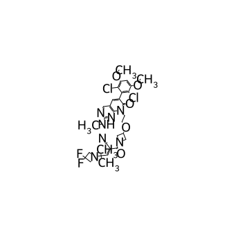 CNc1ncc2cc(-c3c(Cl)c(OC)cc(OC)c3Cl)c(=O)n(CCOC3CN(C(=O)C(C#N)=CC(C)(C)N4CC(F)(F)C4)C3)c2n1